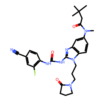 CN(C(=O)CC(C)(C)C)c1ccc2c(c1)nc(NC(=O)Nc1ccc(C#N)cc1F)n2CCCN1CCCC1=O